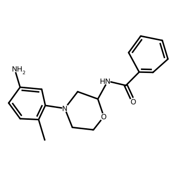 Cc1ccc(N)cc1N1CCOC(NC(=O)c2ccccc2)C1